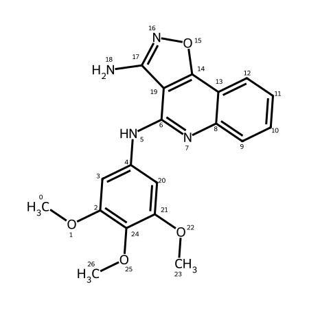 COc1cc(Nc2nc3ccccc3c3onc(N)c23)cc(OC)c1OC